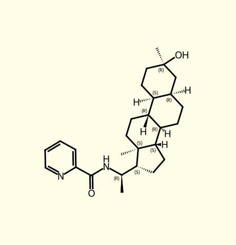 C[C@@H](NC(=O)c1ccccn1)[C@H]1CC[C@H]2[C@@H]3CC[C@@H]4C[C@](C)(O)CC[C@@H]4[C@H]3CC[C@]12C